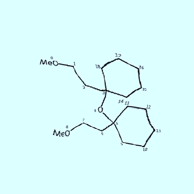 COCCC1(OC2(CCOC)CCCCC2)CCCCC1